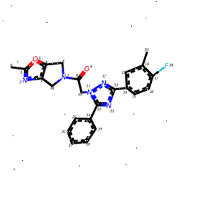 Cc1nc2c(o1)CN(C(=O)Cn1nc(-c3ccc(F)c(C)c3)nc1-c1ccccc1)C2